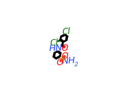 NS(=O)(=O)c1cccc(NC(=O)c2ccc(Cl)cc2Cl)c1